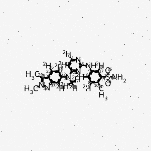 [2H]c1nc(Nc2c([2H])c([2H])c(C)c(S(N)(=O)=O)c2[2H])nc(N(c2c([2H])c([2H])c3c(C)n(C)nc3c2[2H])C([2H])([2H])[2H])c1[2H]